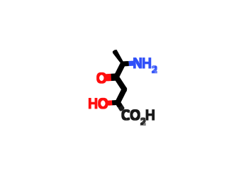 C[C@@H](N)C(=O)CC(O)C(=O)O